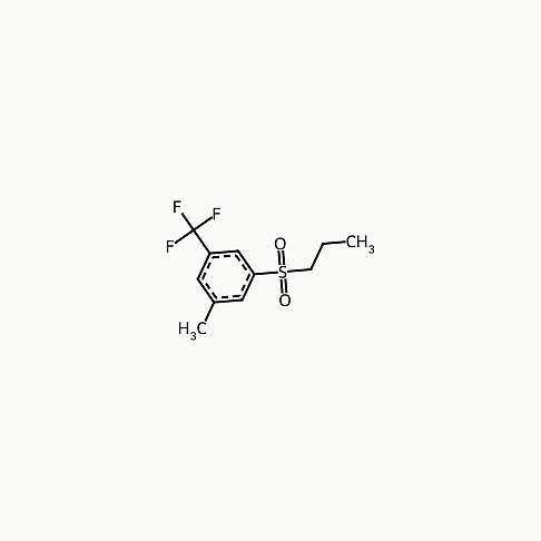 CCCS(=O)(=O)c1cc(C)cc(C(F)(F)F)c1